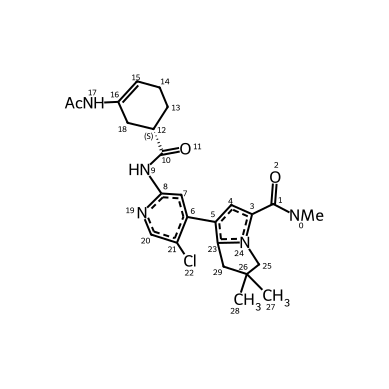 CNC(=O)c1cc(-c2cc(NC(=O)[C@H]3CCC=C(NC(C)=O)C3)ncc2Cl)c2n1CC(C)(C)C2